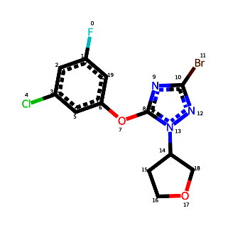 Fc1cc(Cl)cc(Oc2nc(Br)nn2C2CCOC2)c1